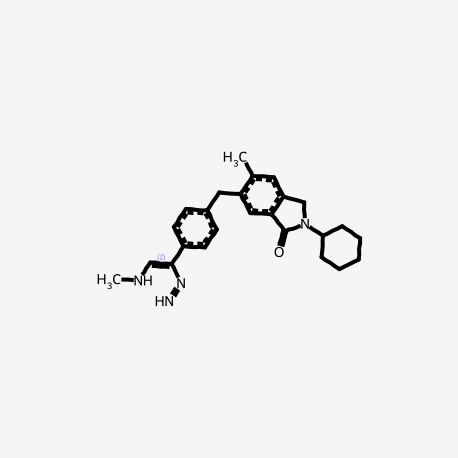 CN/C=C(\N=N)c1ccc(Cc2cc3c(cc2C)CN(C2CCCCC2)C3=O)cc1